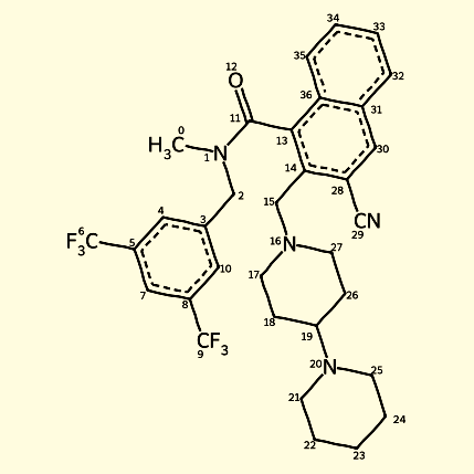 CN(Cc1cc(C(F)(F)F)cc(C(F)(F)F)c1)C(=O)c1c(CN2CCC(N3CCCCC3)CC2)c(C#N)cc2ccccc12